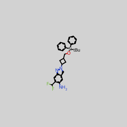 CC(C)(C)[Si](OCC1CC(n2cc3cc(N)c(C(F)F)cc3n2)C1)(c1ccccc1)c1ccccc1